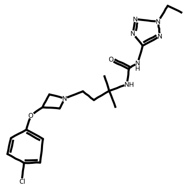 CCn1nnc(NC(=O)NC(C)(C)CCN2CC(Oc3ccc(Cl)cc3)C2)n1